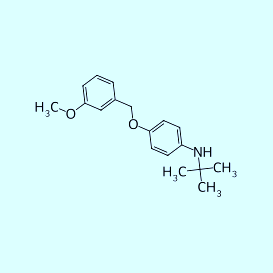 COc1cccc(COc2ccc(NC(C)(C)C)cc2)c1